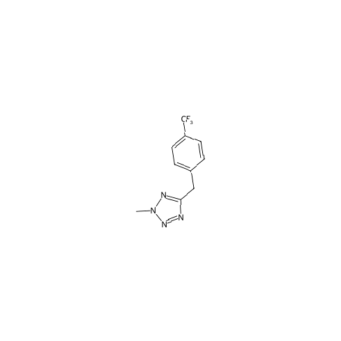 Cn1nnc(Cc2ccc(C(F)(F)F)cc2)n1